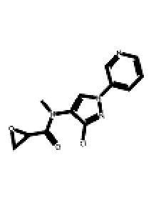 CN(C(=O)C1CO1)c1cn(-c2cccnc2)nc1Cl